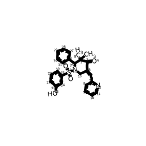 CC1(C)C(=O)C(=Cc2ccccn2)CN(S(=O)(=O)c2cccc(O)c2)C1c1ccccc1